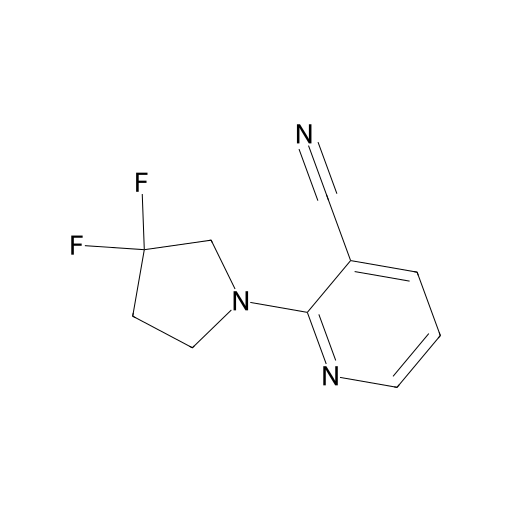 N#Cc1cccnc1N1CCC(F)(F)C1